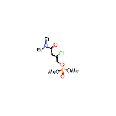 CCN(CC)C(=O)CC(Cl)=COP(=O)(OC)OC